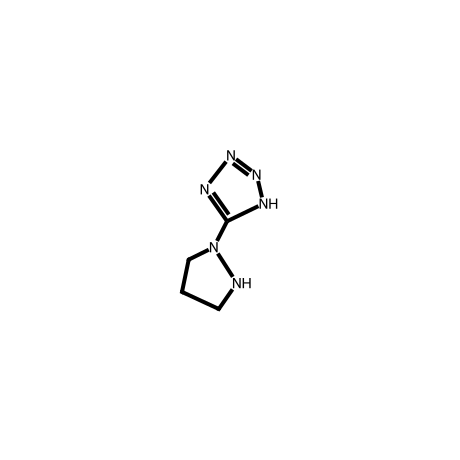 C1CNN(c2nnn[nH]2)C1